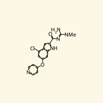 CNC(N)=NC(=O)c1cc2c(Cl)cc(Oc3ccncc3)cc2[nH]1